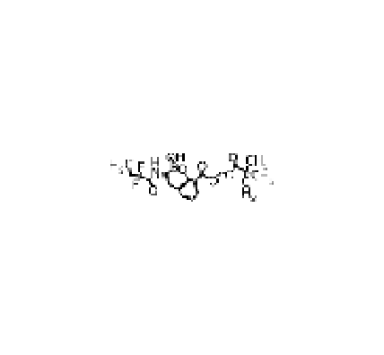 CCC(F)(F)C(=O)N[C@H]1Cc2cccc(C(=O)OCOC(=O)C(C)(C)C)c2OB1O